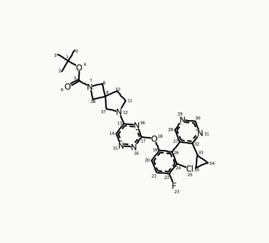 CC(C)(C)OC(=O)N1CC2(CCN(c3cnnc(Oc4ccc(F)c(Cl)c4-c4cncnc4C4CC4)n3)C2)C1